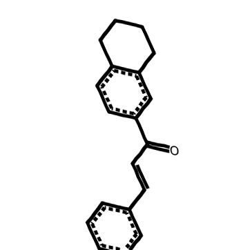 O=C(C=Cc1cccnc1)c1ccc2c(c1)CCCC2